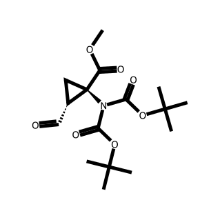 COC(=O)[C@@]1(N(C(=O)OC(C)(C)C)C(=O)OC(C)(C)C)C[C@H]1C=O